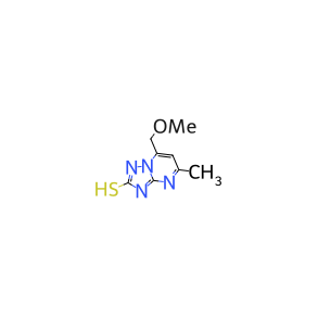 COCc1cc(C)nc2nc(S)nn12